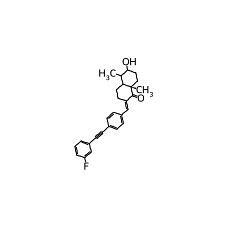 CC1C(O)CC[C@]2(C)C(=O)/C(=C/c3ccc(C#Cc4cccc(F)c4)cc3)CCC12